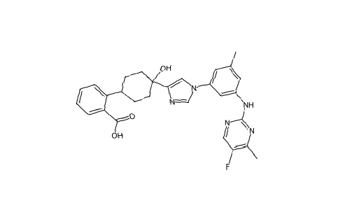 Cc1cc(Nc2ncc(F)c(C)n2)cc(-n2cnc(C3(O)CCC(c4ccccc4C(=O)O)CC3)c2)c1